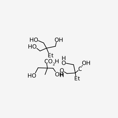 CC(CO)(CO)C(=O)O.CCC(CO)(CO)CO.CCC(CO)(CO)CO